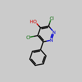 Oc1c(Cl)nnc(-c2ccccc2)c1Cl